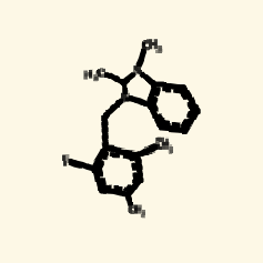 Cc1cc(C)c(CN2c3ccccc3N(C)C2C)c(F)c1